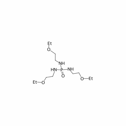 CCOCCNP(=O)(NCCOCC)NCCOCC